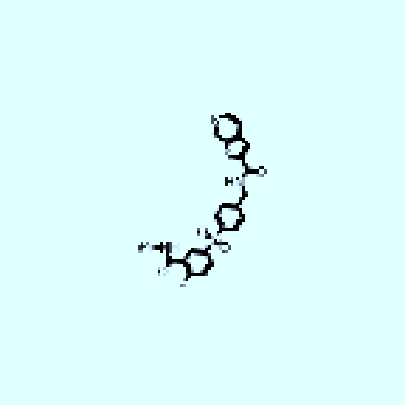 CC(C)NC(=O)c1cc(S(=O)(=O)c2ccc(CNC(=O)c3cc4ccncc4s3)cc2)ccc1F